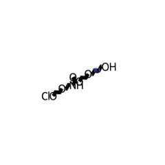 O=C(NCCOCCOCl)OCCOC/C=C/CO